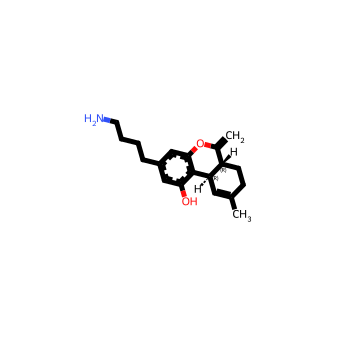 C=C1Oc2cc(CCCCN)cc(O)c2[C@@H]2C=C(C)CC[C@@H]12